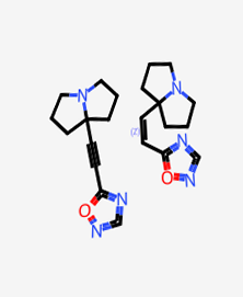 C(#CC12CCCN1CCC2)c1ncno1.C(=C/C12CCCN1CCC2)/c1ncno1